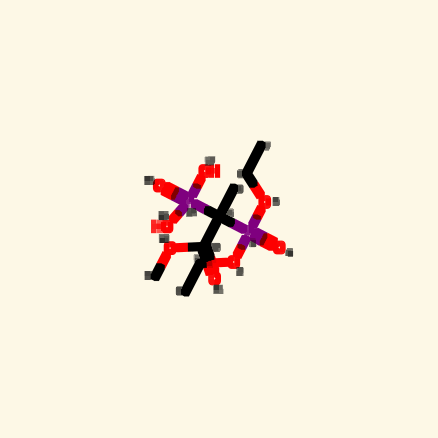 CCOP(=O)(OCC)C(C)(C(=O)OC)P(=O)(O)O